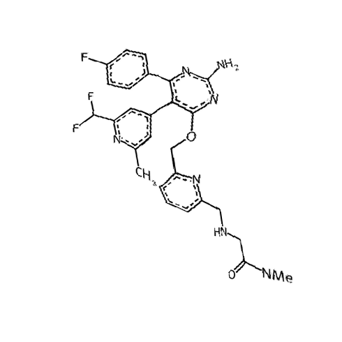 CNC(=O)CNCc1cccc(COc2nc(N)nc(-c3ccc(F)cc3)c2-c2cc(C)nc(C(F)F)c2)n1